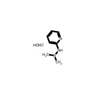 CN(C)Nc1ccccn1.Cl.Cl